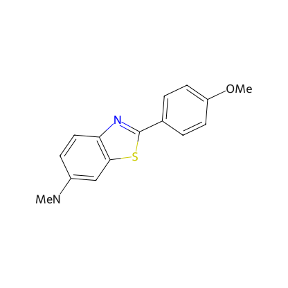 CNc1ccc2nc(-c3ccc(OC)cc3)sc2c1